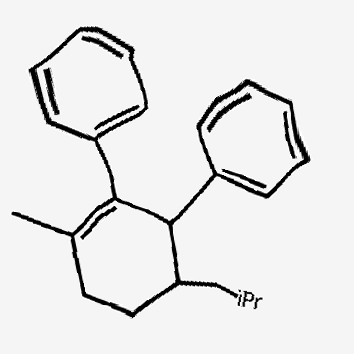 CC1=C(c2ccccc2)C(c2ccccc2)C(C(C)C)CC1